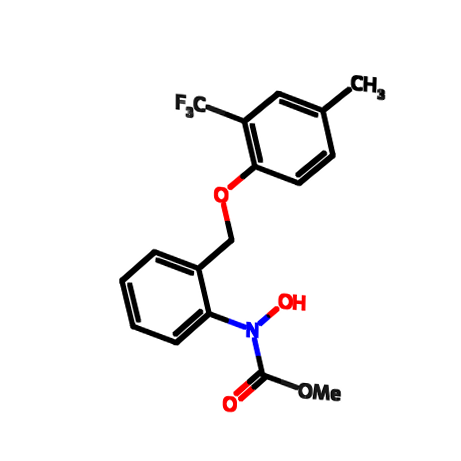 COC(=O)N(O)c1ccccc1COc1ccc(C)cc1C(F)(F)F